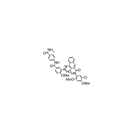 COc1cc(OC)c(NC(=O)c2cc3ccccc3c(/N=N/c3cc(C(=O)Nc4ccc(C(N)=O)cc4)ccc3OC)c2O)cc1Cl